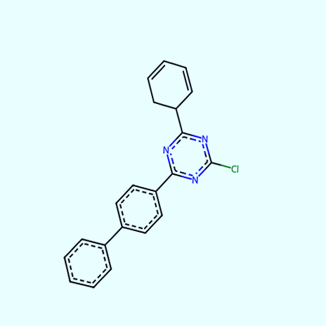 Clc1nc(-c2ccc(-c3ccccc3)cc2)nc(C2C=CC=CC2)n1